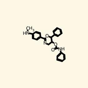 CNc1ccc(C2=NCC(OC(=O)Nc3ccccc3)C(c3ccccc3)O2)cc1